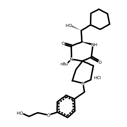 CCCCN1C(=O)[C@@H]([C@H](O)C2CCCCC2)NC(=O)C12CCN(Cc1ccc(OCCO)cc1)CC2.Cl